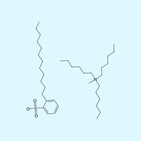 CCCCCCCCCCCCc1ccccc1S(=O)(=O)[O-].CCCCCC[N+](C)(CCCCCC)CCCCCC